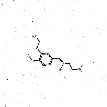 CCC[N+]([O-])=Cc1ccc(OC)c(OCC)c1